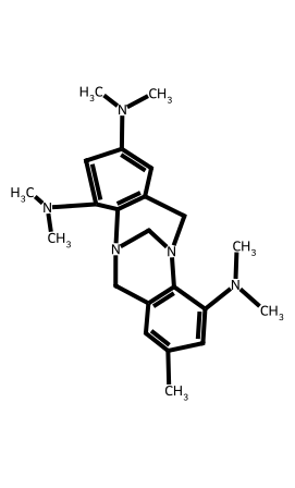 Cc1cc2c(c(N(C)C)c1)N1Cc3cc(N(C)C)cc(N(C)C)c3N(C2)C1